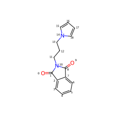 O=C1c2ccccc2C(=O)N1CCCn1cccc1